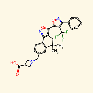 CC1(C)Cc2c(noc2-c2onc(-c3ccccc3)c2C(F)(F)F)-c2ccc(CN3CC(C(=O)O)C3)cc21